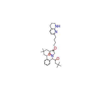 CC(C)(C)CC(=O)C(c1ccccc1C1CC(C)(C)CCO1)N1CC[C@@H](OCCCCc2ccc3c(n2)NCCC3)C1